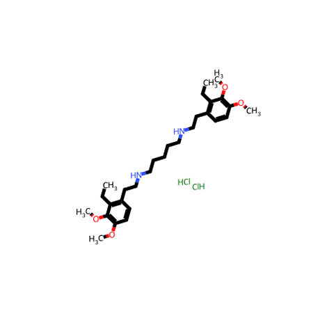 CCc1c(CCNCCCCCNCCc2ccc(OC)c(OC)c2CC)ccc(OC)c1OC.Cl.Cl